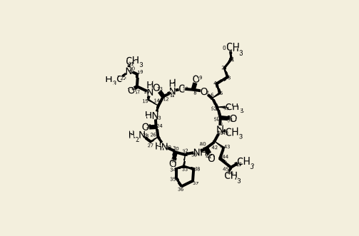 CCCCCC[C@@H]1OC(=O)CNC(=O)[C@H](CNC(=O)CN(C)C)NC(=O)[C@H](CN)NC(=O)[C@H](C2CCCCC2)NC(=O)[C@H](CCC(C)C)N(C)C(=O)[C@@H]1C